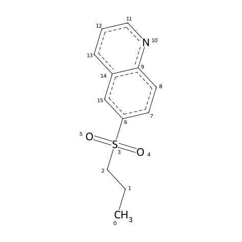 CCCS(=O)(=O)c1ccc2ncccc2c1